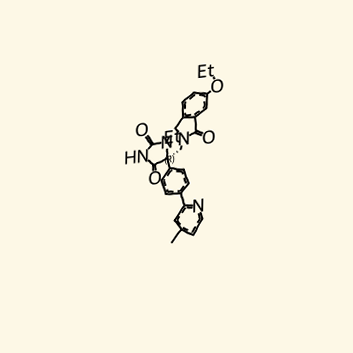 CCOc1ccc2c(c1)C(=O)N(C[C@]1(c3ccc(-c4cc(C)ccn4)cc3)C(=O)NC(=O)N1CC)C2